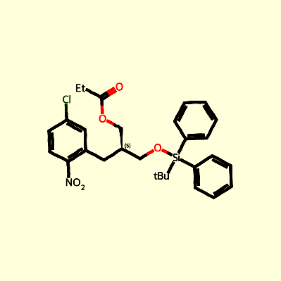 CCC(=O)OC[C@@H](CO[Si](c1ccccc1)(c1ccccc1)C(C)(C)C)Cc1cc(Cl)ccc1[N+](=O)[O-]